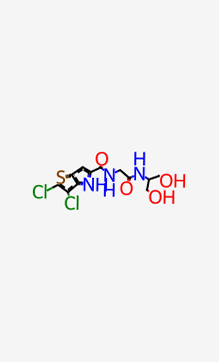 O=C(CNC(=O)c1cc2sc(Cl)c(Cl)c2[nH]1)NC(CO)CO